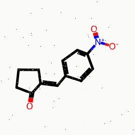 O=C1CCC/C1=C\c1ccc([N+](=O)[O-])cc1